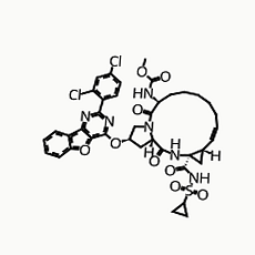 COC(=O)N[C@H]1CCCCC/C=C\[C@@H]2C[C@@]2(C(=O)NS(=O)(=O)C2CC2)NC(=O)[C@@H]2C[C@@H](Oc3nc(-c4ccc(Cl)cc4Cl)nc4c3oc3ccccc34)CN2C1=O